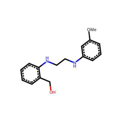 COc1cccc(NCCNc2ccccc2CO)c1